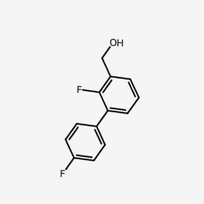 OCc1cccc(-c2ccc(F)cc2)c1F